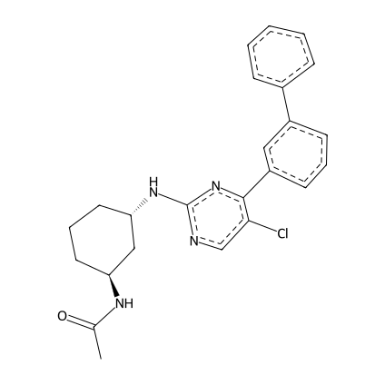 CC(=O)N[C@H]1CCC[C@H](Nc2ncc(Cl)c(-c3cccc(-c4ccccc4)c3)n2)C1